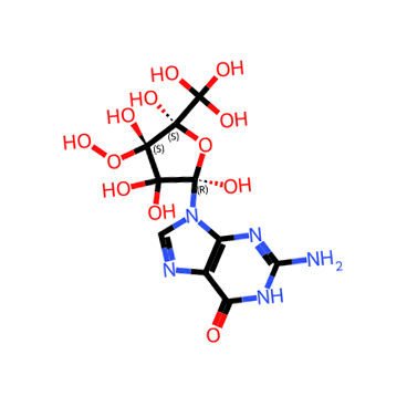 Nc1nc2c(ncn2[C@]2(O)O[C@](O)(C(O)(O)O)[C@@](O)(OO)C2(O)O)c(=O)[nH]1